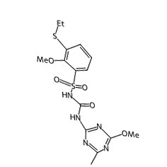 CCSc1cccc(S(=O)(=O)NC(=O)Nc2nc(C)nc(OC)n2)c1OC